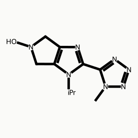 CC(C)n1c(-c2nnnn2C)nc2c1CN(O)C2